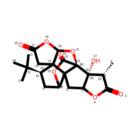 C[C@@H]1C(=O)OC2CC34C5C[C@@H](C(C)(C)C)C36CC(=O)OC6O[C@@]4(C(=O)O5)[C@]21O